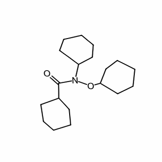 O=C(C1CCCCC1)N(OC1CCCCC1)C1CCCCC1